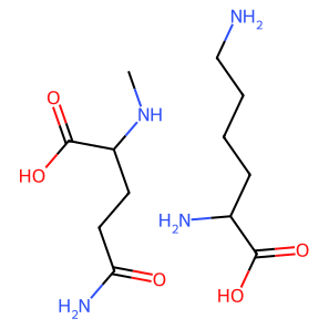 CNC(CCC(N)=O)C(=O)O.NCCCCC(N)C(=O)O